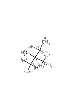 [2H]C([2H])([2H])C(C)(C([2H])([2H])[2H])C(C)(F)F